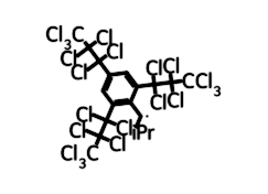 CC(C)[CH]c1c(C(Cl)(Cl)C(Cl)(Cl)C(Cl)(Cl)Cl)cc(C(Cl)(Cl)C(Cl)(Cl)C(Cl)(Cl)Cl)cc1C(Cl)(Cl)C(Cl)(Cl)C(Cl)(Cl)Cl